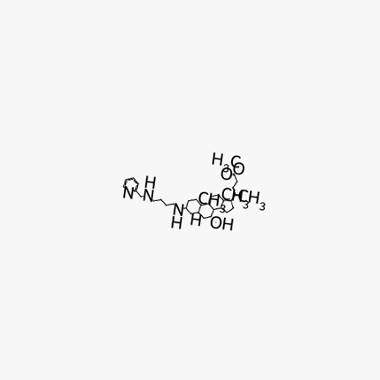 COC(=O)CC[C@@H](C)[C@H]1CCC2C3C(CC[C@@]21C)[C@@]1(C)CC[C@H](NCCCCNCc2ccccn2)C[C@@H]1C[C@H]3O